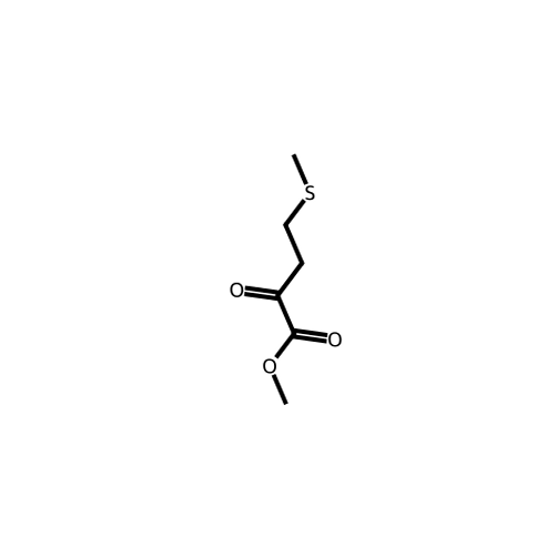 COC(=O)C(=O)CCSC